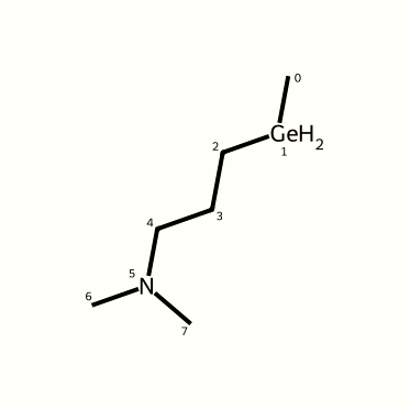 [CH3][GeH2][CH2]CCN(C)C